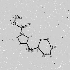 CC(C)(C)OC(=O)N1CCC(NC2CCOCC2)C1